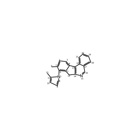 Cc1ccc2c(c1-n1cccc1C)Cc1ncc3ccccc3c1-2